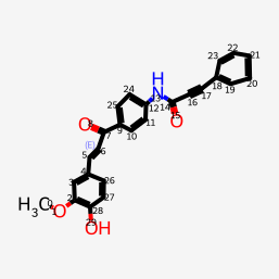 COc1cc(/C=C/C(=O)c2ccc(NC(=O)C#Cc3ccccc3)cc2)ccc1O